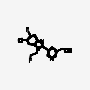 OCc1cncc(-c2nc3cc(F)c(Cl)cc3n2CCF)c1